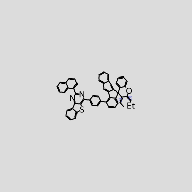 C/C=C1\C(=C/CC)Oc2ccccc2C12c1cc3ccccc3cc1-c1c(-c3ccc(-c4nc(-c5cccc6ccccc56)nc5c4sc4ccccc45)cc3)cccc12